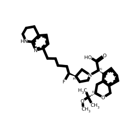 COC(C)(C)[C@@H]1Cc2c(cccc2[C@@H](C(=O)O)N2CC[C@@H](C(F)CCCCc3ccc4c(n3)NCCC4)C2)CO1